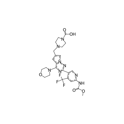 COC(=O)Nc1cc(C(F)(F)F)c(-c2nc(N3CCOCC3)c3cc(CN4CCN(C(=O)O)CC4)cn3n2)cn1